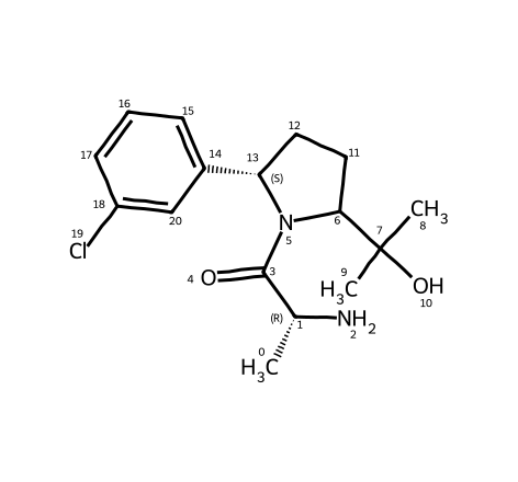 C[C@@H](N)C(=O)N1C(C(C)(C)O)CC[C@H]1c1cccc(Cl)c1